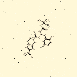 CC(C)(C)OC(=O)N[C@@H](CC(=O)N1CCn2cc(C(=O)O)nc2C1)Cc1cc(F)ccc1F